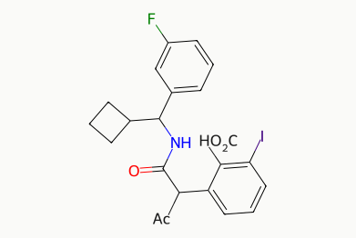 CC(=O)C(C(=O)NC(c1cccc(F)c1)C1CCC1)c1cccc(I)c1C(=O)O